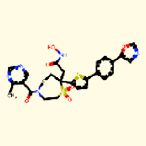 Cc1ncncc1C(=O)N1CCC(CC(=O)NO)(c2ccc(-c3ccc(-c4cnco4)cc3)s2)S(=O)(=O)CC1